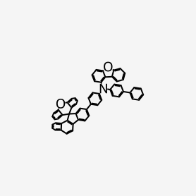 c1ccc(-c2ccc(N(c3ccc(-c4ccc5c(c4)C4(c6ccccc6Oc6ccccc64)c4c-5ccc5ccccc45)cc3)c3cccc4oc5ccccc5c34)cc2)cc1